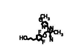 COc1ccc(-n2nc(C)c(C#N)c2COc2c(F)cc(CCCO)cc2F)nc1